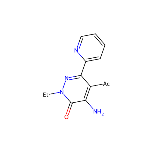 CCn1nc(-c2ccccn2)c(C(C)=O)c(N)c1=O